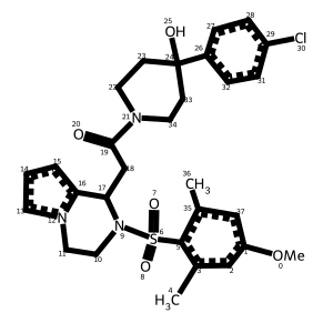 COc1cc(C)c(S(=O)(=O)N2CCn3cccc3C2CC(=O)N2CCC(O)(c3ccc(Cl)cc3)CC2)c(C)c1